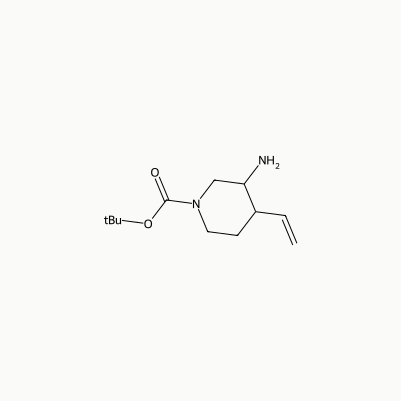 C=CC1CCN(C(=O)OC(C)(C)C)CC1N